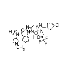 CN1CCC(N(C)C(=O)c2ccccc2-n2cnc(Cn3nc(-c4ccc(Cl)cc4)n(C[C@H](O)C(F)(F)F)c3=O)n2)C1